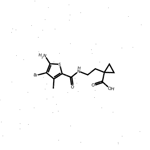 Cc1c(C(=O)NCCC2(C(=O)O)CC2)sc(N)c1Br